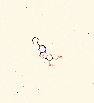 C[C@@]1(O)[C@H](O)[C@@H](CO)O[C@H]1n1ccc(C2CCCC2)nc1=O